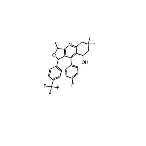 CC1OC(c2ccc(C(F)(F)F)cc2)c2c1nc1c(c2-c2ccc(F)cc2)[C@@H](O)CC(C)(C)C1